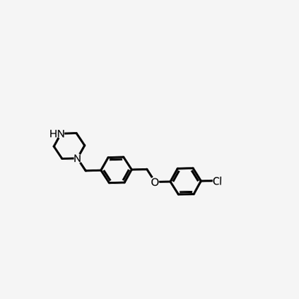 Clc1ccc(OCc2ccc(CN3CCNCC3)cc2)cc1